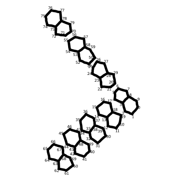 C1CCC2CCCCC2C1.C1CCC2CCCCC2C1.C1CCC2CCCCC2C1.C1CCC2CCCCC2C1.C1CCC2CCCCC2C1.C1CCC2CCCCC2C1.C1CCC2CCCCC2C1.C1CCC2CCCCC2C1